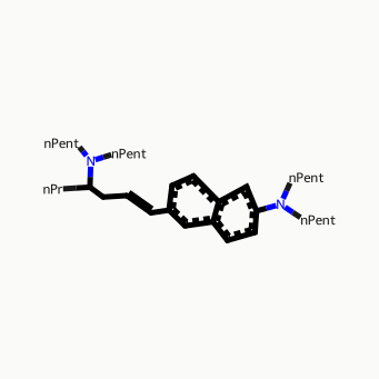 CCCCCN(CCCCC)c1ccc2cc(C=CCC(CCC)N(CCCCC)CCCCC)ccc2c1